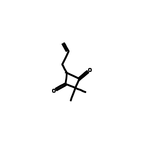 C=CC[C]1C(=O)C(C)(C)C1=O